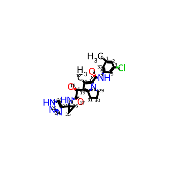 Cc1cc(Cl)cc(NC(=O)c2c(C)c(C(=O)C(=O)NC3(c4c[nH]nn4)CC3)c3n2CCC3)c1